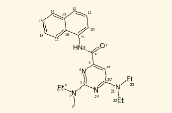 CCN(C)c1nc(C(=O)Nc2cccc3ccccc23)cc(N(CC)CC)n1